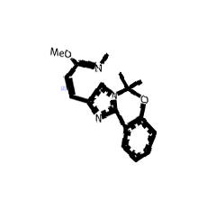 CN=C(/C=C\c1cn2c(n1)-c1ccccc1OC2(C)C)OC